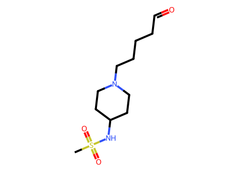 CS(=O)(=O)NC1CCN(CCCCC=O)CC1